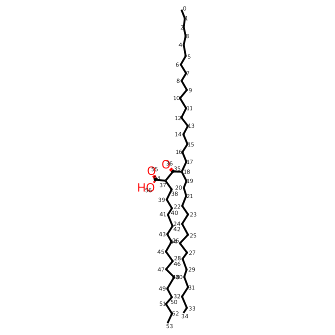 CCCCCCCCCCCCCCCCCCC(CCCCCCCCCCCCCCCC)C(=O)C(CCCCCCCCCCCCCCCC)C(=O)O